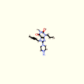 CC#CCn1c(N2CCNCC2)nc2c1c(=O)n(C)c(=O)n2CCC